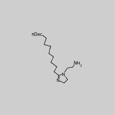 CCCCCCCCCCCCCCCCCCC1=NCCN1CCN